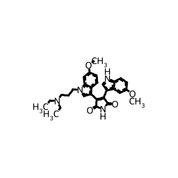 CCN(CC)CCCn1cc(C2=C(c3c[nH]c4ccc(OC)cc34)C(=O)NC2=O)c2ccc(OC)cc21